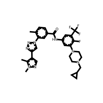 Cc1ccc(C(=O)Nc2cc(N3CCN(CC4CC4)CC3)c(F)c(C(F)(F)F)c2)cc1-n1cc(-c2cnn(C)c2C)nn1